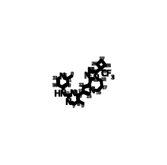 Cc1cc(Nc2ncc(C)c(-c3cc4n(c3)CCCn3c-4nnc3C3(C(F)(F)F)CCC3)n2)ccn1